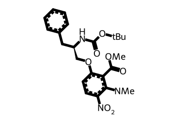 CNc1c([N+](=O)[O-])ccc(OC[C@@H](Cc2ccccc2)NC(=O)OC(C)(C)C)c1C(=O)OC